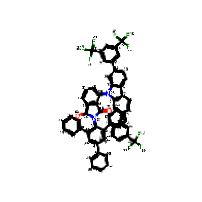 Cc1cc(-c2ccc3c4ccc(-c5cc(C(F)(F)F)cc(C(F)(F)F)c5)cc4n(-c4cccc5c4C(=O)N(c4c(-c6ccccc6)cc(-c6ccccc6)cc4-c4ccccc4)C5=O)c3c2)cc(C(F)(F)F)c1